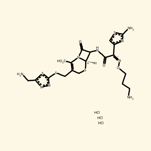 Cl.Cl.Cl.NCCCO/N=C(\C(=O)NC1C(=O)N2C(C(=O)O)=C(CSc3nnc(CN)s3)CS[C@H]12)c1csc(N)n1